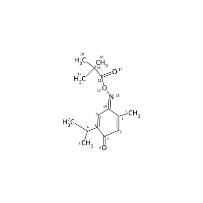 CC1=CC(=O)C(C(C)C)=C/C1=N\OC(=O)C(C)(C)C